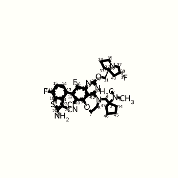 CN(C)C1(CN2CCOc3c(Cl)c(-c4ccc(F)c5sc(N)c(C#N)c45)c(F)c4nc(OC[C@@]56CCCN5C[C@H](F)C6)nc2c34)CCCC1